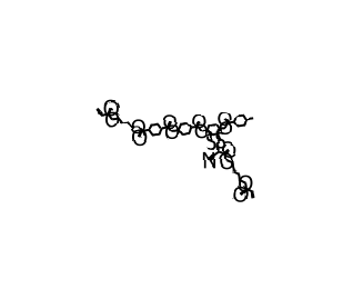 C=CC(=O)OCCCCOC(=O)/C(C#N)=C1\Sc2c(OC(=O)C3CCC(C)CC3)ccc(OC(=O)C3CCC(OC(=O)C4CCC(C(=O)OCCCCOC(=O)C=C)CC4)CC3)c2S1